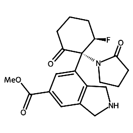 COC(=O)c1cc2c(c([C@@]3(N4CCCC4=O)C(=O)CCC[C@H]3F)c1)CNC2